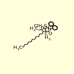 CCCCCCCCCCCCC(CCC)C1(C)C(=O)N(c2ccccc2)[N+](C)(c2ccccc2)C1=O.[Cl-]